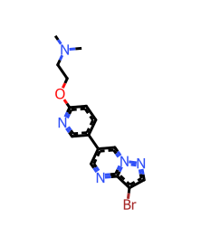 CN(C)CCOc1ccc(-c2cnc3c(Br)cnn3c2)cn1